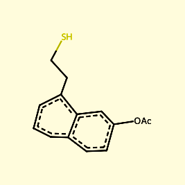 CC(=O)Oc1ccc2cccc(CCS)c2c1